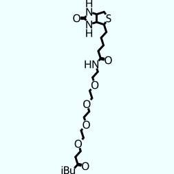 CCC(C)C(=O)CCOCCOCCOCCOCCNC(=O)CCCCC1SCC2NC(=O)NC21